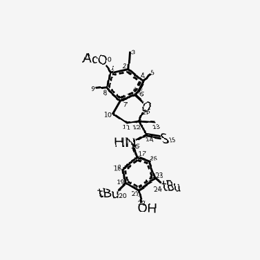 CC(=O)Oc1c(C)c(C)c2c(c1C)CCC(C)(C(=S)Nc1cc(C(C)(C)C)c(O)c(C(C)(C)C)c1)O2